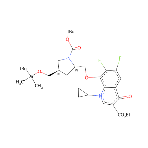 CCOC(=O)c1cn(C2CC2)c2c(OC[C@@H]3C[C@@H](CO[Si](C)(C)C(C)(C)C)CN3C(=O)OC(C)(C)C)c(F)c(F)cc2c1=O